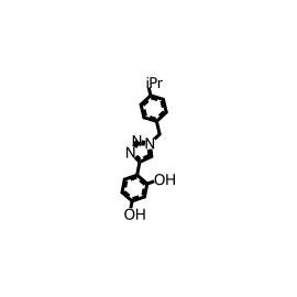 CC(C)c1ccc(Cn2cc(-c3ccc(O)cc3O)nn2)cc1